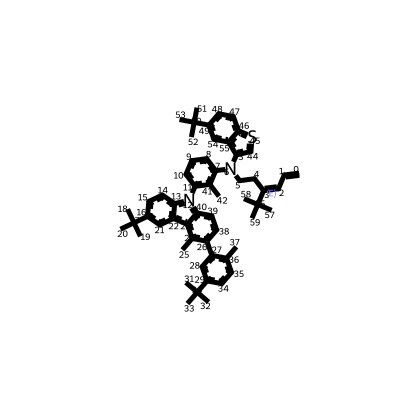 C=C/C=C(\CCN(c1cccc(-n2c3ccc(C(C)(C)C)cc3c3c(C)c(-c4cc(C(C)(C)C)ccc4C)ccc32)c1C)c1csc2ccc(C(C)(C)C)cc12)C(C)(C)C